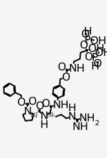 N=C(N)NCCC[C@H](NC(=O)[C@@H]1CCCN1C(=O)OCc1ccccc1)C(=O)Nc1ccc(COC(=O)NCCCC(O)(O[PH](=O)O)O[PH](=O)O)cc1